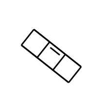 C12=C3C4C1C1C2C3C41